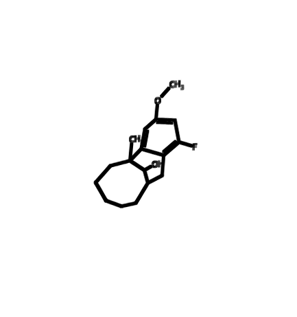 COc1cc(F)c2c(c1)C1(C)CCCCCC(C2)C1O